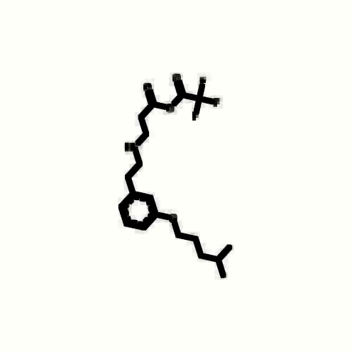 CC(C)CCCOc1cccc(CCNCCC(=O)OC(=O)C(F)(F)F)c1